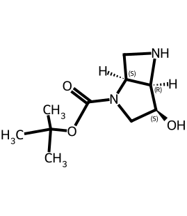 CC(C)(C)OC(=O)N1C[C@H](O)[C@@H]2NC[C@@H]21